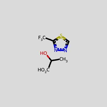 CC(O)C(=O)O.FC(F)(F)c1nncs1